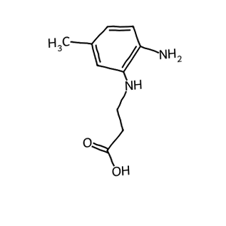 Cc1ccc(N)c(NCCC(=O)O)c1